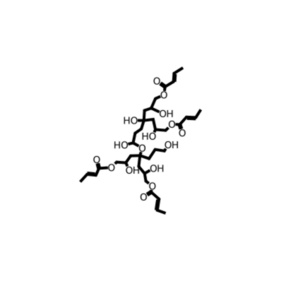 CC=CC(=O)OCC(O)CC(O)(CCC(O)OC(CCCO)(CC(O)COC(=O)C=CC)CC(O)COC(=O)C=CC)CC(O)COC(=O)C=CC